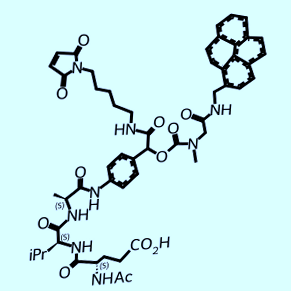 CC(=O)N[C@@H](CCC(=O)O)C(=O)N[C@H](C(=O)N[C@@H](C)C(=O)Nc1ccc(C(OC(=O)N(C)CC(=O)NCc2ccc3ccc4cccc5ccc2c3c45)C(=O)NCCCCCN2C(=O)C=CC2=O)cc1)C(C)C